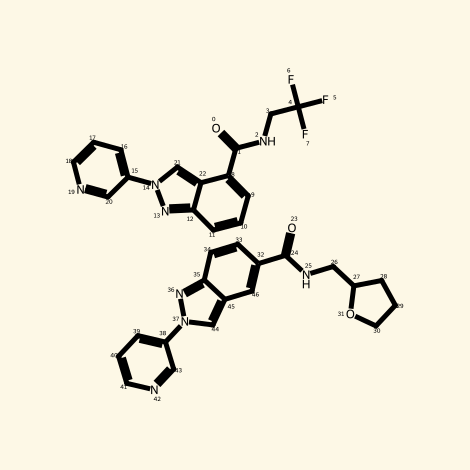 O=C(NCC(F)(F)F)c1cccc2nn(-c3cccnc3)cc12.O=C(NCC1CCCO1)c1ccc2nn(-c3cccnc3)cc2c1